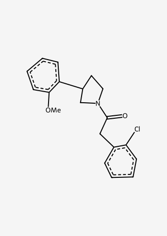 COc1ccccc1C1CCN(C(=O)Cc2ccccc2Cl)C1